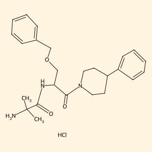 CC(C)(N)C(=O)NC(COCc1ccccc1)C(=O)N1CCC(c2ccccc2)CC1.Cl